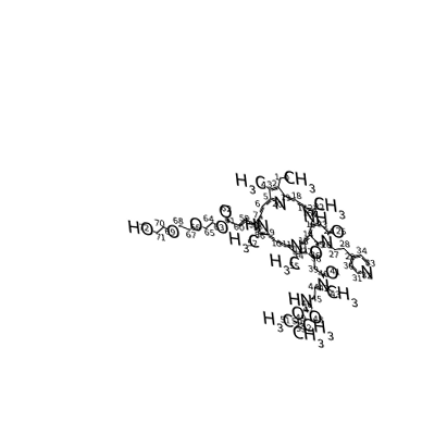 CCC1=C(C)c2cc3[nH]c(cc4nc(c5c6[nH]c(cc1n2)c(C)c6C(=O)N(CCc1ccncc1)C5=O)[C@@H](CCC(=O)N(C)CCNC(=O)OC(C)(C)C)[C@@H]4C)c(C)c3/C=C/C(=O)OCCOCCOCCO